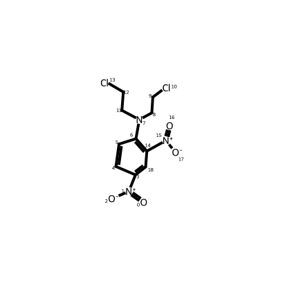 O=[N+]([O-])c1ccc(N(CCCl)CCCl)c([N+](=O)[O-])c1